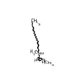 C=C(CCCCCCCCCCCCCCCCCCC)NCCc1c[nH]c2ccc(NCC)cc12